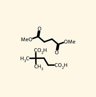 CC(C)(CCC(=O)O)C(=O)O.COC(=O)CCC(=O)OC